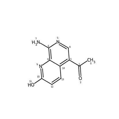 CC(=O)c1cnc(N)c2nc(O)ccc12